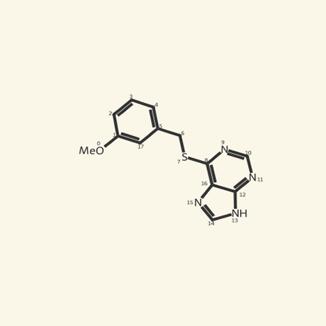 COc1cccc(CSc2ncnc3[nH]cnc23)c1